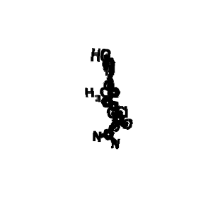 Cc1c(OCCCN2CCC(O)CC2)cccc1-c1cccc2c1CC[C@@H]2Oc1cc(OCc2cc(C#N)cc(C#N)c2)c(C=O)cc1Cl